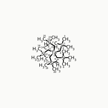 C[Si](C)(C)[CH2][Ta]([CH2][Si](C)(C)C)([CH2][Si](C)(C)C)([CH2][Si](C)(C)C)[CH2][Si](C)(C)C